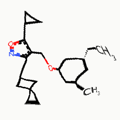 CC[C@@H]1CC(C)CC(OCc2c(C3CC4(CC4)C3)noc2C2CC2)C1